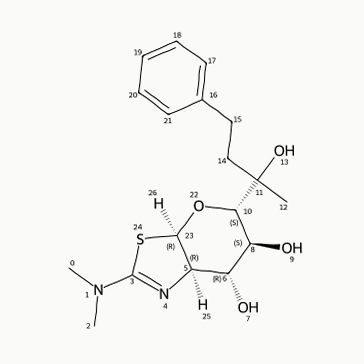 CN(C)C1=N[C@@H]2[C@@H](O)[C@H](O)[C@@H](C(C)(O)CCc3ccccc3)O[C@@H]2S1